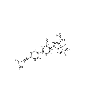 CC(O)C#Cc1ccc(-c2ccn(CCC(C)(C(=O)NO)S(C)(=O)=O)c(=O)c2)cc1